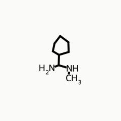 CNC(N)C1CCCCC1